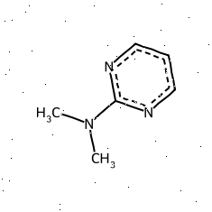 CN(C)c1ncccn1